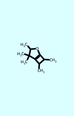 CC1C2=C(C1C)C(C)(C)C(C)O2